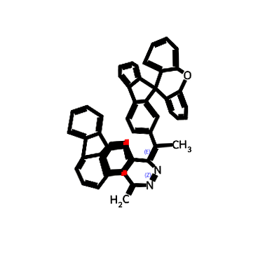 C=C(/N=N\C(=C(/C)c1ccc2c(c1)C1(c3ccccc3Oc3ccccc31)c1ccccc1-2)c1ccccc1)c1ccc2c3c(cccc13)-c1ccccc1-2